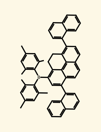 Cc1cc(C)c(B(c2cc(-c3cccc4ccccc34)c3ccc4ccc(-c5cccc6ccccc56)c5c4c3c2CC5)c2c(C)cc(C)cc2C)c(C)c1